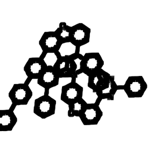 c1ccc(C2=NC(c3cccc4oc5ccc(-c6ccc(-c7ccc(-c8ccccc8)cc7)cc6)c(-c6ccccc6)c5c34)=NC(c3cccc(-c4ccccc4)c3)N2c2ccc3oc4cccc(-c5nc(-c6ccccc6)nc(-c6ccccc6)n5)c4c3c2)cc1